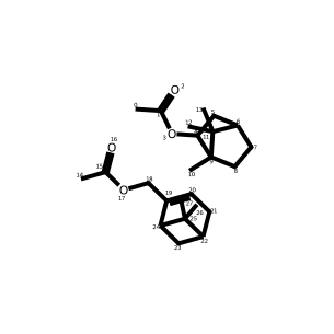 CC(=O)OC1CC2CCC1(C)C2(C)C.CC(=O)OCC1=CCC2CC1C2(C)C